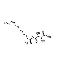 CCCCCCCC/C=C\CCCCCCCC(=O)OC(=O)C(O)C(O)C(=O)OC.[NaH]